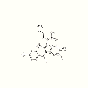 CCCCC(C(=O)O)c1c(C)n(C(=S)c2ccc(C)cc2)c2cc(F)c(O)cc12